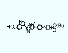 Cc1nn2c(-c3ccnc4cc(CO)ccc34)cnc2cc1-c1ccc(N2CCN(C(=O)OC(C)(C)C)CC2)cc1